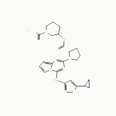 COC(=O)N1CCCC(NC(=O)[C@@H]2CCCN2c2nc(Nc3cc(C4CC4)[nH]n3)n3cccc3n2)C1